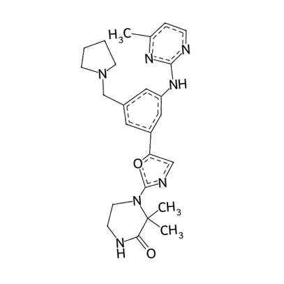 Cc1ccnc(Nc2cc(CN3CCCC3)cc(-c3cnc(N4CCNC(=O)C4(C)C)o3)c2)n1